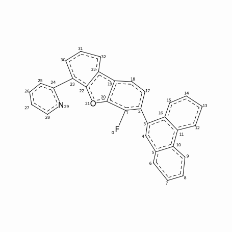 Fc1c(-c2cc3ccccc3c3ccccc23)ccc2c1oc1c(-c3ccccn3)cccc12